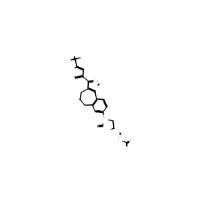 CC(=O)NC[C@H]1CN(c2ccc3c(c2)CCCc2c(-c4csc(C(F)(F)F)c4)noc2-3)C(=O)O1